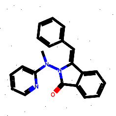 CN(c1ccccn1)N1C(=O)c2ccccc2/C1=C/c1ccccc1